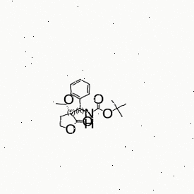 CC(=O)[C@@]1([C@H](NC(=O)OC(C)(C)C)c2ccccc2)CCOC1=O